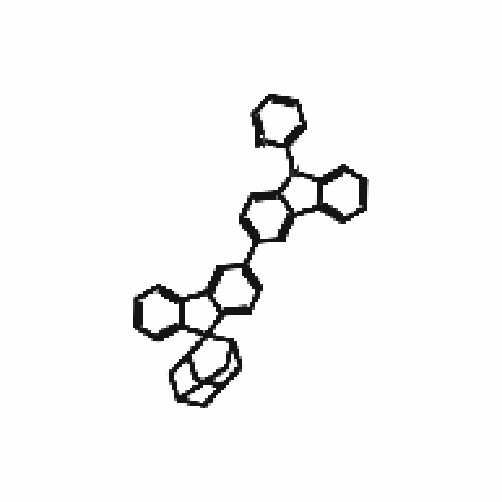 c1ccc(-n2c3ccccc3c3cc(-c4ccc5c(c4)-c4ccccc4C54C5CC6CC(C5)CC4C6)ccc32)nc1